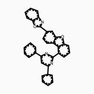 c1ccc(-c2cc(-c3ccccc3)nc(-c3cccc4oc5cc(-c6nc7ccccc7o6)ccc5c34)n2)cc1